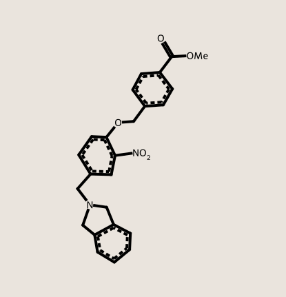 COC(=O)c1ccc(COc2ccc(CN3Cc4ccccc4C3)cc2[N+](=O)[O-])cc1